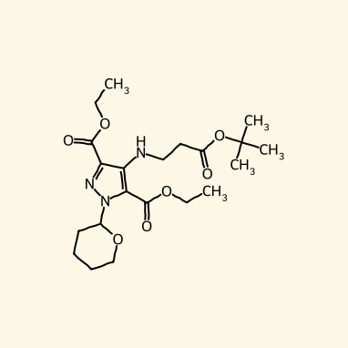 CCOC(=O)c1nn(C2CCCCO2)c(C(=O)OCC)c1NCCC(=O)OC(C)(C)C